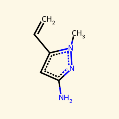 C=Cc1cc(N)nn1C